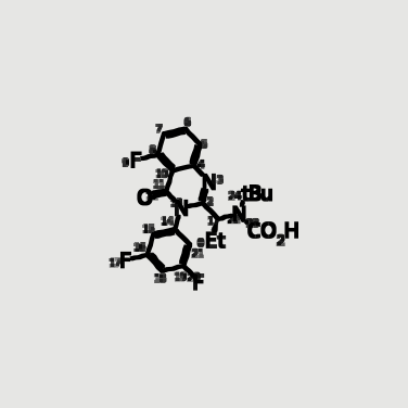 CC[C@@H](c1nc2cccc(F)c2c(=O)n1-c1cc(F)cc(F)c1)N(C(=O)O)C(C)(C)C